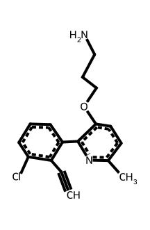 C#Cc1c(Cl)cccc1-c1nc(C)ccc1OCCCN